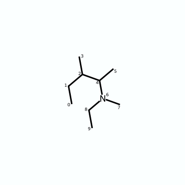 CCC(C)C(C)N(C)CC